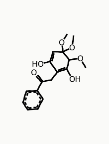 COC1C(O)=C(CC(=O)c2ccccc2)C(O)=CC1(OC)OC